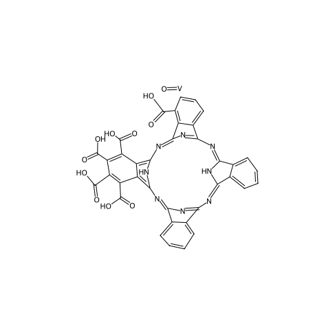 O=C(O)c1cccc2c1-c1nc-2nc2[nH]c(nc3nc(nc4[nH]c(n1)c1c(C(=O)O)c(C(=O)O)c(C(=O)O)c(C(=O)O)c41)-c1ccccc1-3)c1ccccc21.[O]=[V]